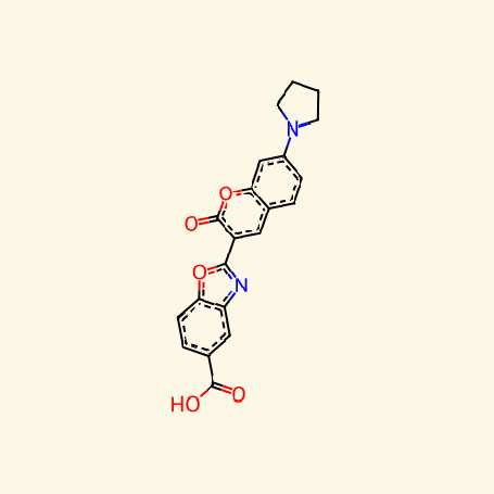 O=C(O)c1ccc2oc(-c3cc4ccc(N5CCCC5)cc4oc3=O)nc2c1